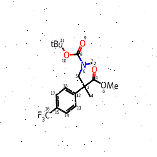 COC(=O)C(C)(CN(C)C(=O)OC(C)(C)C)c1ccc(C(F)(F)F)cc1